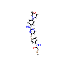 CSCC(=O)Nc1ccc(Sc2ccnc(Nc3ccc(N4CCOCC4)cc3)n2)cc1